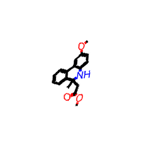 COC(=O)CC1(C)Nc2ccc(OC)cc2-c2ccccc21